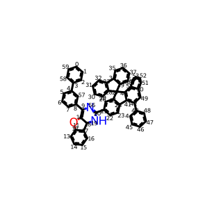 c1ccc(-c2cccc(C3=C4Oc5ccccc5C4NC(c4ccc5c(c4)C4(c6ccccc6-c6ccccc64)c4c-5c(-c5ccccc5)cc5ccccc45)=N3)c2)cc1